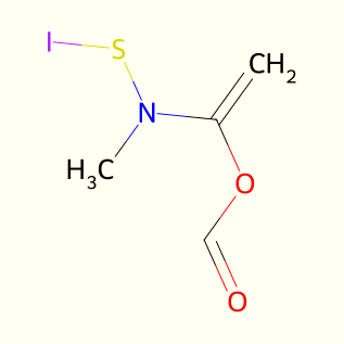 C=C(OC=O)N(C)SI